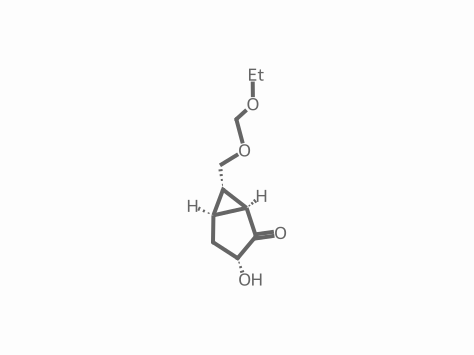 CCOCOC[C@H]1[C@@H]2C[C@@H](O)C(=O)[C@H]12